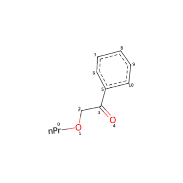 CCCO[CH]C(=O)c1ccccc1